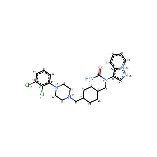 NC(=O)N(CC1CCC(CN2CCN(c3cccc(Cl)c3Cl)CC2)CC1)c1cnn2ccccc12